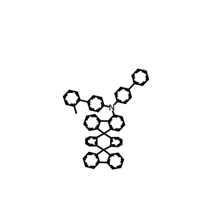 Cc1ccccc1-c1ccc(N(c2ccc(-c3ccccc3)cc2)c2cccc3c2-c2ccccc2C32c3ccccc3C3(c4ccccc4-c4ccccc43)c3ccccc32)cc1